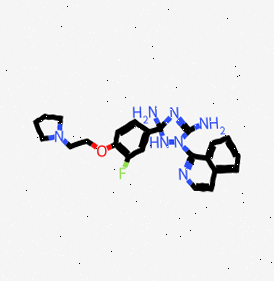 NC1=NC(N)(c2ccc(OCCN3CCCC3)c(F)c2)NN1c1nccc2ccccc12